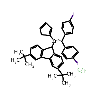 CC(C)(C)c1ccc2c(c1)-c1cc(C(C)(C)C)ccc1[CH]2[Zr+2]([C]1=CC=CC1)=[C](c1ccc(I)cc1)c1ccc(I)cc1.[Cl-].[Cl-]